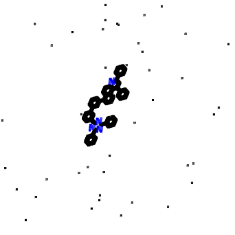 c1ccc(-c2cc(-c3ccccc3)c3c(ccc4c(-c5cccc(-c6cccc(-c7nc(-c8ccccc8)nc(-c8ccccc8)n7)c6)c5)cccc43)n2)cc1